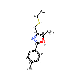 CCc1ccc(-c2nc(CSCC(C)=O)c(C)o2)cc1